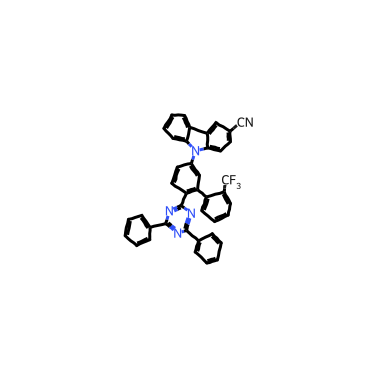 N#Cc1ccc2c(c1)c1ccccc1n2-c1ccc(-c2nc(-c3ccccc3)nc(-c3ccccc3)n2)c(-c2ccccc2C(F)(F)F)c1